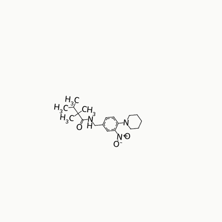 CC(C)C(C)(C)C(=O)NCc1ccc(N2CCCCC2)c([N+](=O)[O-])c1